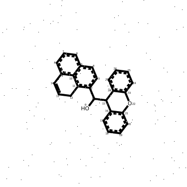 OC(c1ccc2cccc3c2c1CC=C3)C1c2ccccc2Oc2ccccc21